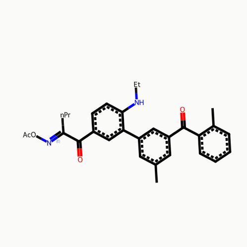 CCC/C(=N\OC(C)=O)C(=O)c1ccc(NCC)c(-c2cc(C)cc(C(=O)c3ccccc3C)c2)c1